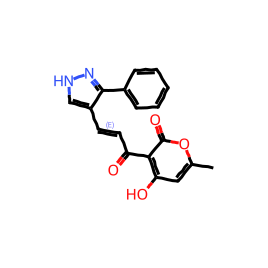 Cc1cc(O)c(C(=O)/C=C/c2c[nH]nc2-c2ccccc2)c(=O)o1